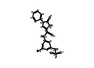 CS(=O)(=O)Nc1cc(Br)cc(NC(=O)c2cn(-c3ccccc3)c(=O)[nH]2)c1